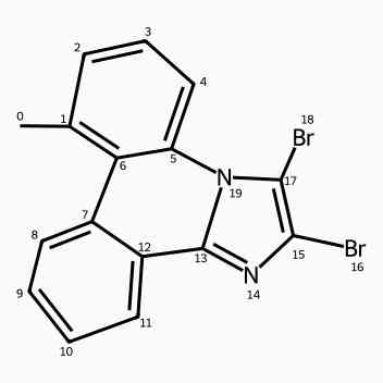 Cc1cccc2c1c1ccccc1c1nc(Br)c(Br)n21